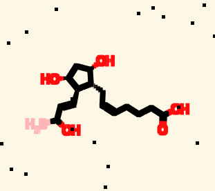 BC(O)/C=C/[C@@H]1[C@@H](C/C=C\CCCC(=O)O)[C@@H](O)C[C@H]1O